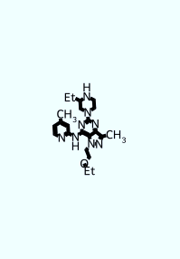 CCOCCn1nc(C)c2nc(N3CCNC(CC)C3)nc(Nc3cc(C)ccn3)c21